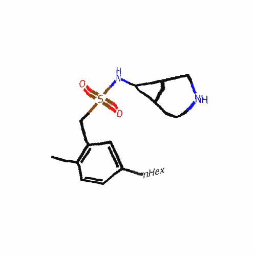 CCCCCCc1ccc(C)c(CS(=O)(=O)NC2C3CNCC32)c1